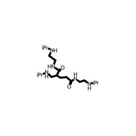 CC(C)NCCNC(=O)CCC(CNC(C)C)C(=O)NCCNC(C)C